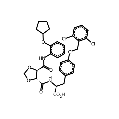 O=C(O)[C@H](Cc1ccc(OCc2c(Cl)cccc2Cl)cc1)NC(=O)[C@@H]1OCO[C@H]1C(=O)Nc1ccccc1OC1CCCC1